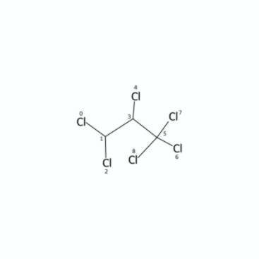 ClC(Cl)C(Cl)C(Cl)(Cl)Cl